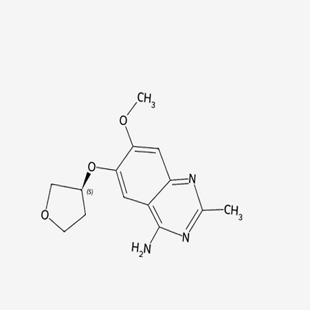 COc1cc2nc(C)nc(N)c2cc1O[C@H]1CCOC1